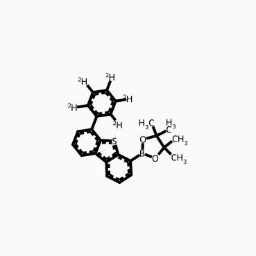 [2H]c1c([2H])c([2H])c(-c2cccc3c2sc2c(B4OC(C)(C)C(C)(C)O4)cccc23)c([2H])c1[2H]